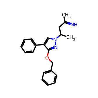 CC(=N)CC(C)n1cc(-c2ccccc2)c(OCc2ccccc2)n1